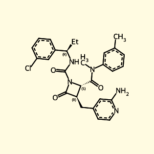 CC[C@@H](NC(=O)N1C(=O)[C@H](Cc2ccnc(N)c2)[C@H]1C(=O)N(C)c1cccc(C)c1)c1cccc(Cl)c1